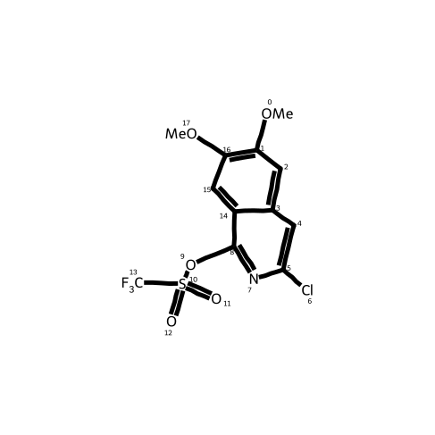 COc1cc2cc(Cl)nc(OS(=O)(=O)C(F)(F)F)c2cc1OC